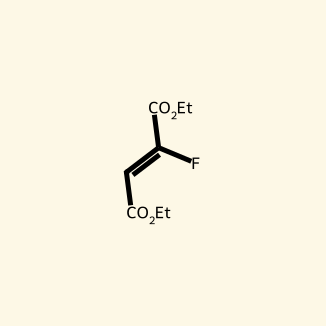 CCOC(=O)/C=C(\F)C(=O)OCC